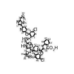 C[C@H](NCc1ccc(Cl)cc1Oc1ccc(-c2cnc(CN(C)C)n2C)nc1)C(=O)N[C@@H](CO[Si](C)(C)C(C)(C)C)C(=O)N(C)[C@@]1(Cc2ccc(Cl)cc2)CCCN(C(=O)[C@@H](CC(=O)O)Cc2ccccc2)C1